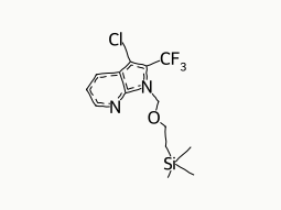 C[Si](C)(C)CCOCn1c(C(F)(F)F)c(Cl)c2cccnc21